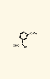 COc1cc([C@H](Br)C=O)ccn1